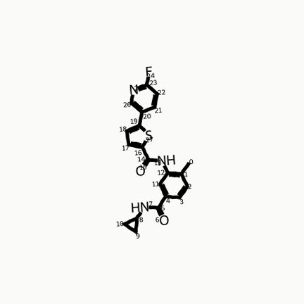 Cc1ccc(C(=O)NC2CC2)cc1NC(=O)c1ccc(-c2ccc(F)nc2)s1